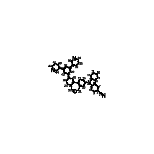 N#Cc1ccc2c(c1)c1ccccc1n2-c1ccc2c(c1)COCc1ccc(-c3cc(-c4cccnc4)cc(-c4cccnc4)c3)cc1-2